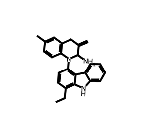 C=C1Cc2cc(C)ccc2N(c2ccc(CC)c3[nH]c4ccccc4c23)C1N